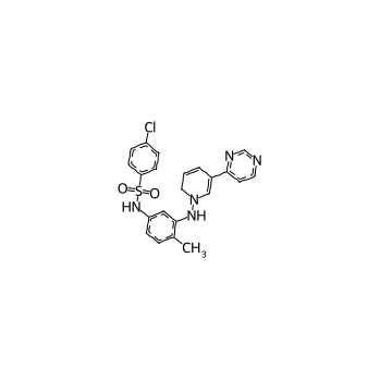 Cc1ccc(NS(=O)(=O)c2ccc(Cl)cc2)cc1NN1C=C(c2ccncn2)C=CC1